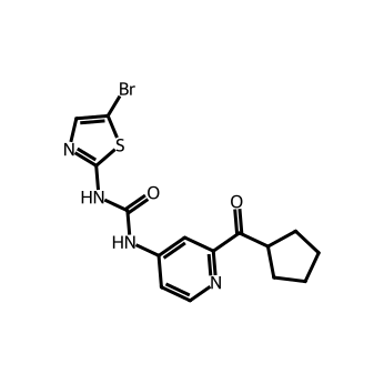 O=C(Nc1ccnc(C(=O)C2CCCC2)c1)Nc1ncc(Br)s1